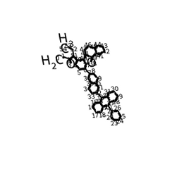 C=Cc1oc2cc(-c3ccc4cc(-c5c6ccccc6c(-c6ccccc6)c6ccccc56)ccc4c3)c3oc4c5ccccc5ccc4c3c2c1/C=C\C